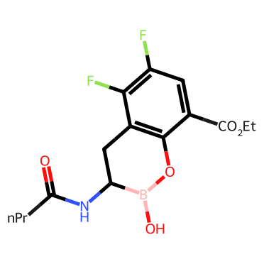 CCCC(=O)NC1Cc2c(F)c(F)cc(C(=O)OCC)c2OB1O